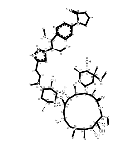 CC[C@H]1OC(=O)[C@H](C)[C@@H](C2C[C@@](C)(OC)[C@@H](O)[C@H](C)O2)[C@H](C)[C@@H](O[C@@H]2O[C@H](C)C[C@H](N(C)CCc3cn([C@H](CF)[C@H](OC)c4ccc(N5CCCC5=O)cc4)nn3)[C@H]2O)[C@](C)(O)C[C@@H](C)CN(C)[C@H](C)[C@@H](O)[C@]1(C)O